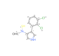 O=CN(S)c1c[nH]cc1-c1cccc(Cl)c1Cl